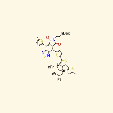 CCCCCCCCCCCCN1C(=O)c2c(c(-c3ccc(-c4cc5c(s4)-c4sc(C)cc4[Si]5(CC(CC)CCC)CC(CC)CCC)s3)c3nsnc3c2-c2ccc(C)s2)C1=O